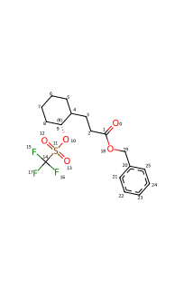 O=C(CCC1CCCC[C@H]1OS(=O)(=O)C(F)(F)F)OCc1ccccc1